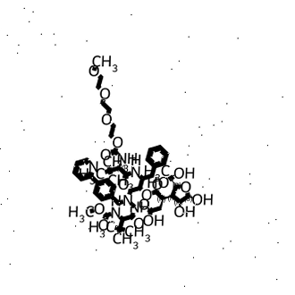 COCCOCCOCCOC(=O)N[C@@H](C(=O)NC(Cc1ccccc1)C(CN(Cc1ccc(-c2ccccn2)cc1)NC(=O)C(NC(=O)OC)C(C)(C)C)OC(=O)[C@H](CC(=O)O)[C@@H]1[C@@H](O)[C@@H](O)O[C@H]1C(C)(O)O)C(C)(C)C